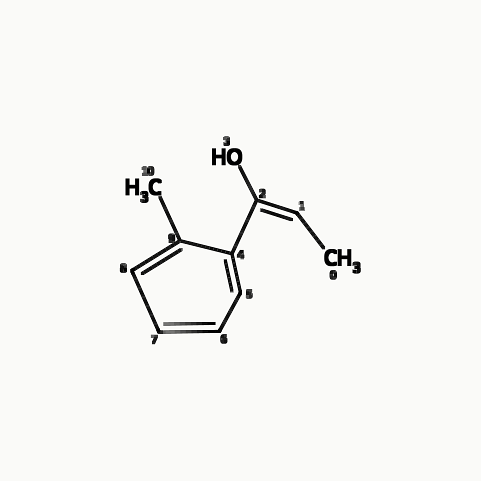 C/C=C(/O)c1ccccc1C